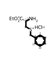 CCOC(=O)[C@H](N)CSCc1ccccc1.Cl